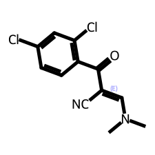 CN(C)/C=C(\C#N)C(=O)c1ccc(Cl)cc1Cl